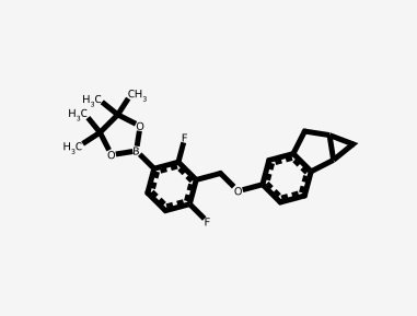 CC1(C)OB(c2ccc(F)c(COc3ccc4c(c3)CC3CC43)c2F)OC1(C)C